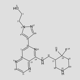 OCCn1cc(-c2cc3nccnc3c(NCC3CNCCC3(F)F)n2)cn1